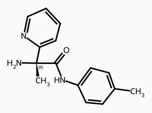 Cc1ccc(NC(=O)[C@](C)(N)c2ccccn2)cc1